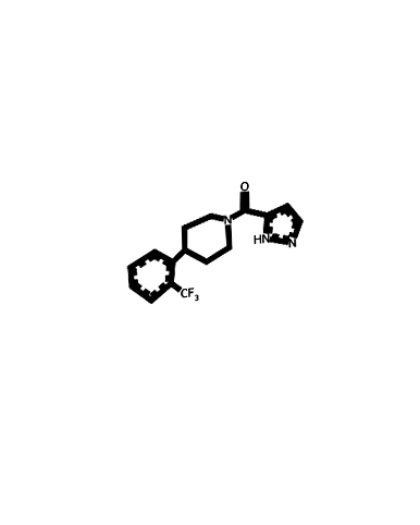 O=C(c1ccn[nH]1)N1CCC(c2ccccc2C(F)(F)F)CC1